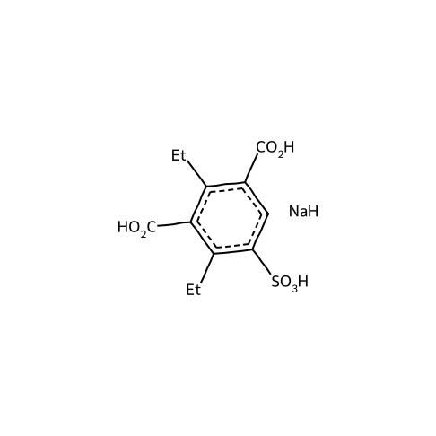 CCc1c(C(=O)O)cc(S(=O)(=O)O)c(CC)c1C(=O)O.[NaH]